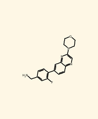 NCc1ccc(-c2ccc3ncc(N4CCOCC4)nc3c2)c(F)c1